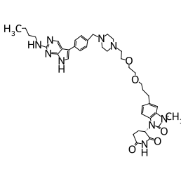 CCCCNc1ncc2c(-c3ccc(CN4CCN(CCOCCOCCCc5ccc6c(c5)n(C)c(=O)n6[C@H]5CCC(=O)NC5=O)CC4)cc3)c[nH]c2n1